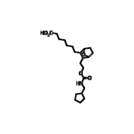 O=C(O)CCCCCCC1C2CCC(O2)C1CCOC(=O)NCC1CCCC1